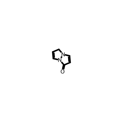 O=c1ccn2n1C=CC2